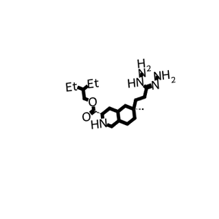 CCC(CC)COC(=O)[C@@H]1CC2C[C@@](C)(CC/C(=N/N)NN)CCC2CN1